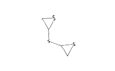 C1SC1SC1CS1